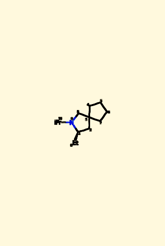 CC[C@@H]1CC2(CCCC2)CN1C(C)C